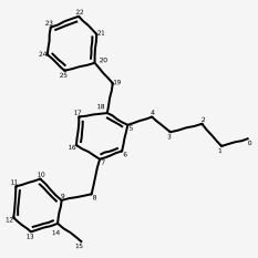 CCCCCc1cc(Cc2ccccc2C)ccc1Cc1ccccc1